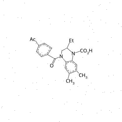 CCC1CN(C(=O)c2ccc(C(C)=O)cc2)c2cc(C)c(C)cc2N1C(=O)O